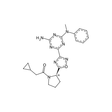 CN(c1ccccc1)c1nc(N)nc(-c2noc([C@H]3CCCN3C(=O)CC3CC3)n2)n1